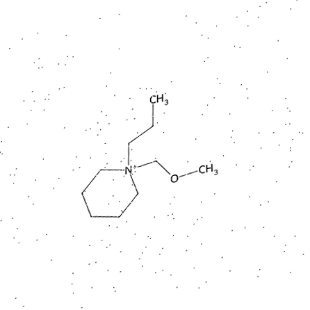 CCC[N+]1(COC)CCCCC1